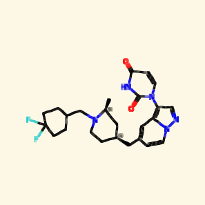 C[C@H]1C[C@@H](Cc2ccn3ncc(-n4ccc(=O)[nH]c4=O)c3c2)CCN1CC1CCC(F)(F)CC1